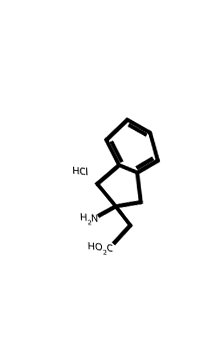 Cl.NC1(CC(=O)O)Cc2ccccc2C1